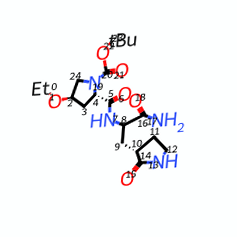 CCO[C@@H]1C[C@@H](C(=O)NC(C[C@@H]2CCNC2=O)C(N)=O)N(C(=O)OC(C)(C)C)C1